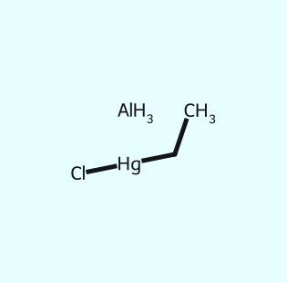 C[CH2][Hg][Cl].[AlH3]